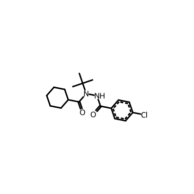 CC(C)(C)N(NC(=O)c1ccc(Cl)cc1)C(=O)C1CCCCC1